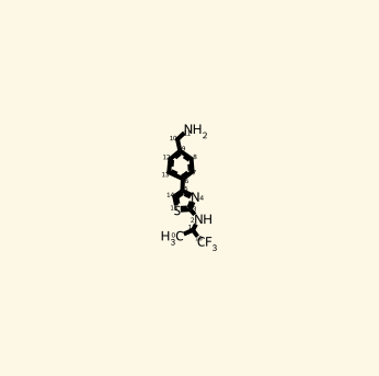 CC(Nc1nc(-c2ccc(CN)cc2)cs1)C(F)(F)F